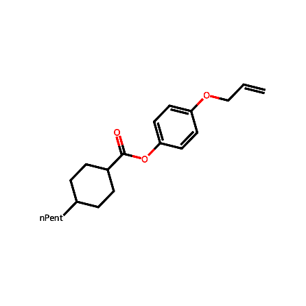 C=CCOc1ccc(OC(=O)C2CCC(CCCCC)CC2)cc1